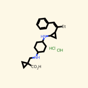 CCC(=Cc1ccccc1)C1CC1NC1CCC(NCC2(C(=O)O)CC2)CC1.Cl.Cl